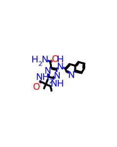 CC(Nc1cnc(C(N)=O)c(Nc2cnc3ccccc3c2)n1)C(C)(C)C(N)=O